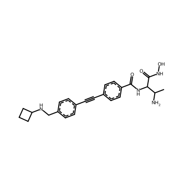 CC(N)C(NC(=O)c1ccc(C#Cc2ccc(CNC3CCC3)cc2)cc1)C(=O)NO